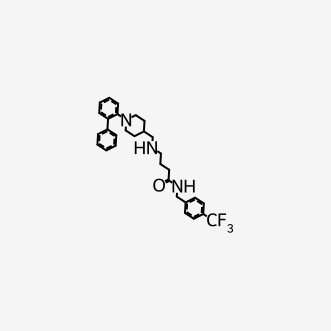 O=C(CCCNCC1CCN(c2ccccc2-c2ccccc2)CC1)NCc1ccc(C(F)(F)F)cc1